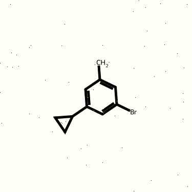 [CH2]c1cc(Br)cc(C2CC2)c1